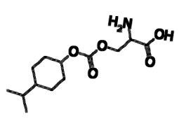 CC(C)C1CCC(OC(=O)OCC(N)C(=O)O)CC1